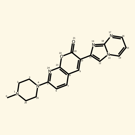 CN1CCN(c2ccc3cc(-c4cn5cccnc5n4)c(=O)oc3n2)CC1